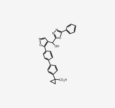 O=C(O)C1(c2ccc(-c3ccc(-c4oncc4C(O)c4nnc(-c5ccccc5)o4)cc3)cc2)CC1